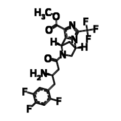 COC(=O)c1nc(C(F)(F)F)n2c1[C@@H]1C[C@H]2CN1C(=O)C[C@H](N)Cc1cc(F)c(F)cc1F